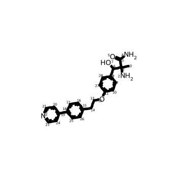 CC(N)(C(N)=O)C(O)c1ccc(OCCc2ccc(-c3ccncc3)cc2)cc1